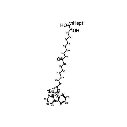 CCCCCCCC(O)C(O)CCCCCCCCC(=O)CCCCCCCCO[Si](c1ccccc1)(c1ccccc1)C(C)(C)C